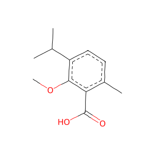 COc1c(C(C)C)ccc(C)c1C(=O)O